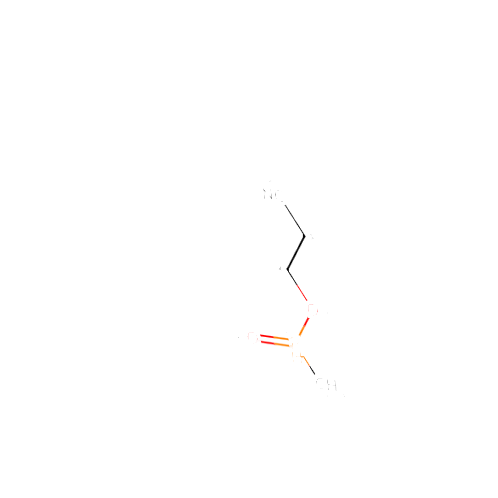 C[PH](=O)OCCC#N